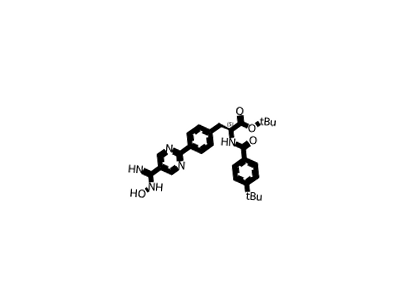 CC(C)(C)OC(=O)[C@H](Cc1ccc(-c2ncc(C(=N)NO)cn2)cc1)NC(=O)c1ccc(C(C)(C)C)cc1